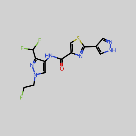 O=C(Nc1cn(CCF)nc1C(F)F)c1csc(-c2cn[nH]c2)n1